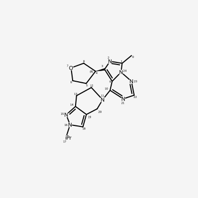 Cc1nc([C@H]2CCOC2)c2c(N3CCc4nn(C(C)C)cc4C3)ncnn12